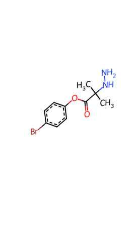 CC(C)(NN)C(=O)Oc1ccc(Br)cc1